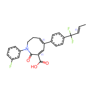 C/C=C/C(F)(F)c1ccc(C2=C/CCN(c3cccc(F)c3)C(=O)/C(C(=O)O)=C\2)cc1